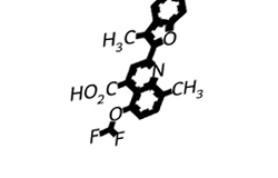 Cc1c(-c2cc(C(=O)O)c3c(OC(F)F)ccc(C)c3n2)oc2ccccc12